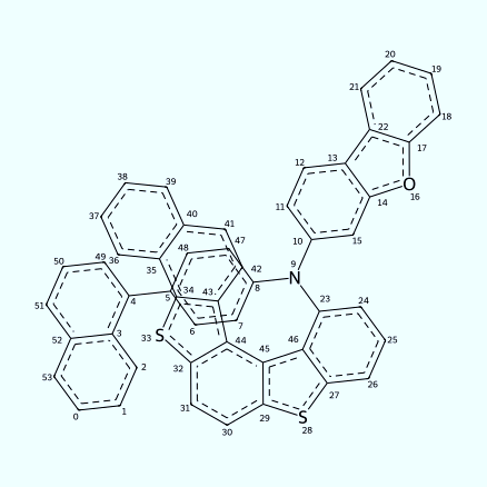 c1ccc2c(-c3ccc(N(c4ccc5c(c4)oc4ccccc45)c4cccc5sc6ccc7sc8c9ccccc9ccc8c7c6c45)cc3)cccc2c1